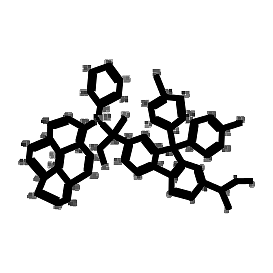 CCC(C)c1ccc2c(c1)C(c1ccc(C)cc1)(c1ccc(C)cc1)c1cc(C(C)(CC)N(c3ccccc3)c3ccc4ccc5cccc6ccc3c4c56)ccc1-2